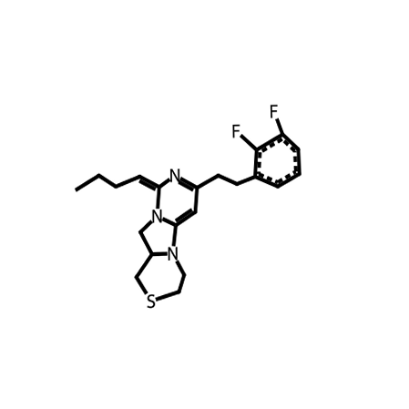 CCC/C=C1/N=C(CCc2cccc(F)c2F)C=C2N1CC1CSCCN21